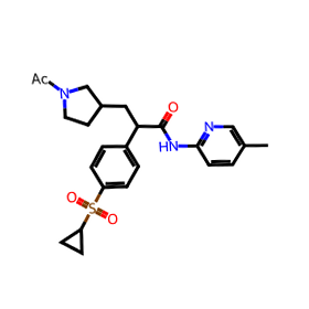 CC(=O)N1CCC(CC(C(=O)Nc2ccc(C)cn2)c2ccc(S(=O)(=O)C3CC3)cc2)C1